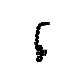 CCCCCCCCCCCCCCCCCCOc1ccc(NC(=O)Nc2ccccc2)cc1